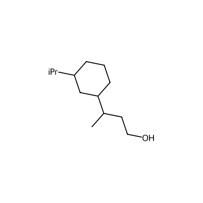 CC(C)C1CCCC(C(C)CCO)C1